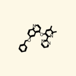 Cc1cc(Oc2ccnc3ccc(OCc4ccccc4)cc23)c(-c2ncccn2)nc1C